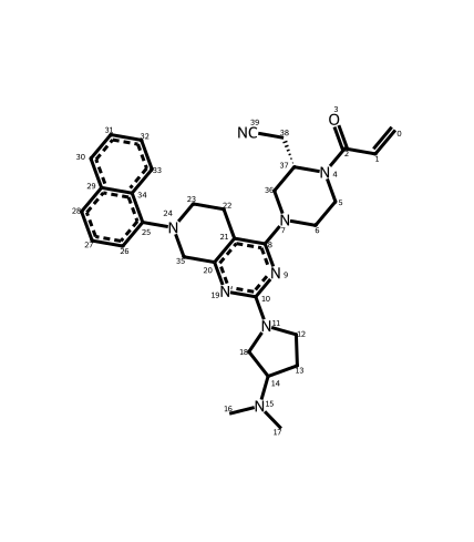 C=CC(=O)N1CCN(c2nc(N3CCC(N(C)C)C3)nc3c2CCN(c2cccc4ccccc24)C3)C[C@@H]1CC#N